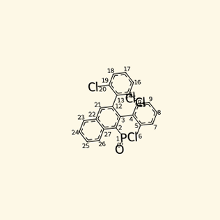 O=Pc1c(-c2c(Cl)cccc2Cl)c(-c2c(Cl)cccc2Cl)cc2ccccc12